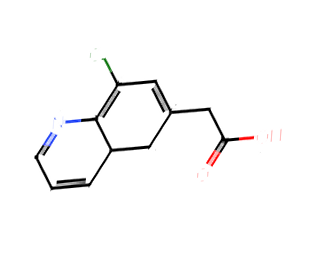 O=C(O)CC1=CC(Cl)=C2N=CC=CC2C1